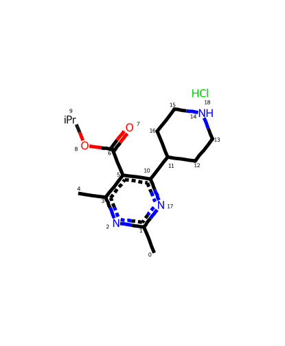 Cc1nc(C)c(C(=O)OC(C)C)c(C2CCNCC2)n1.Cl